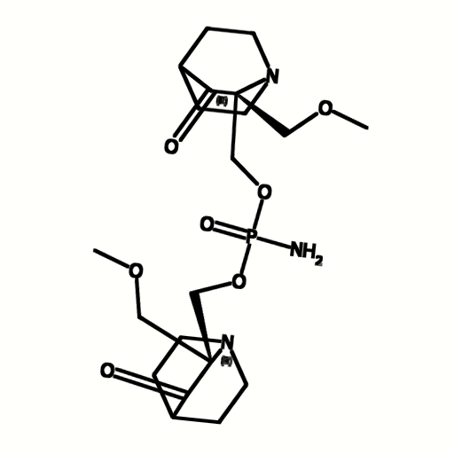 COC[C@@]1(COP(N)(=O)OC[C@]2(COC)C(=O)C3CCN2CC3)C(=O)C2CCN1CC2